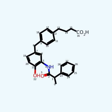 CC(C(=O)Nc1cc(Cc2ccc(CCCC(=O)O)cc2)ccc1O)c1ccccc1